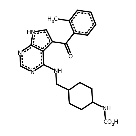 Cc1ccccc1C(=O)c1c[nH]c2ncnc(NCC3CCC(NC(=O)O)CC3)c12